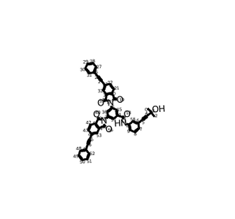 CC(C)(O)C#Cc1cccc(NC(=O)c2cc(N3C(=O)c4ccc(C#Cc5ccccc5)cc4C3=O)cc(N3C(=O)c4ccc(C#Cc5ccccc5)cc4C3=O)c2)c1